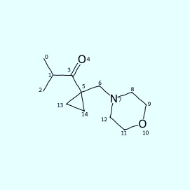 CC(C)C(=O)C1(CN2CCOCC2)CC1